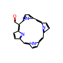 O=Cc1c2nc(cc3ccc(cc4nc(cc5ccc1[nH]5)C=C4)[nH]3)C=C2